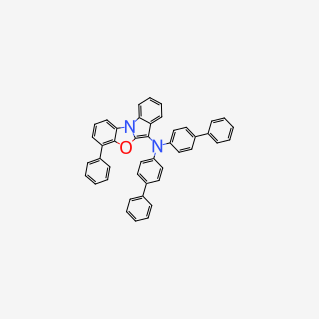 c1ccc(-c2ccc(N(c3ccc(-c4ccccc4)cc3)c3c4ccccc4n4c3oc3c(-c5ccccc5)cccc34)cc2)cc1